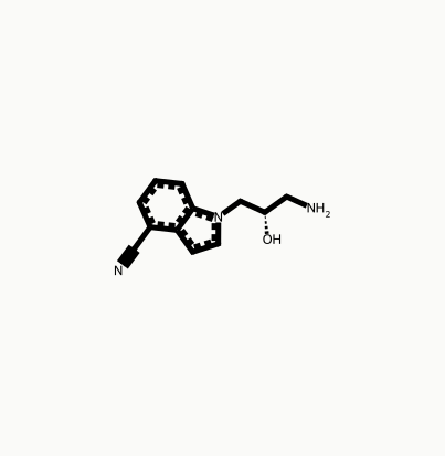 N#Cc1cccc2c1ccn2C[C@@H](O)CN